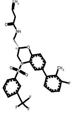 C=CCC(=O)NC[C@H]1CN(S(=O)(=O)c2cccc(C(F)(F)F)c2)c2cc(-c3cccc(F)c3C)ccc2O1